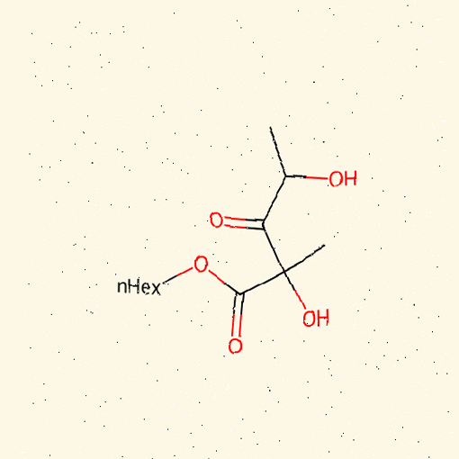 CCCCCCOC(=O)C(C)(O)C(=O)C(C)O